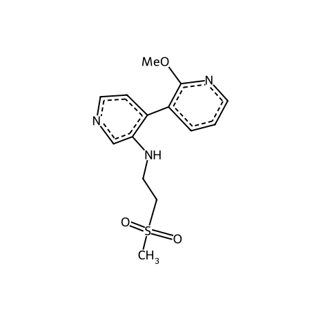 COc1ncccc1-c1ccncc1NCCS(C)(=O)=O